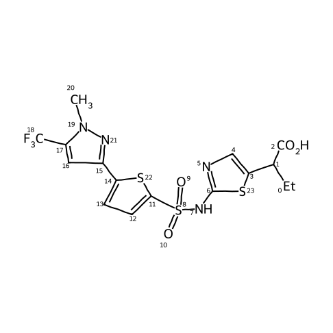 CCC(C(=O)O)c1cnc(NS(=O)(=O)c2ccc(-c3cc(C(F)(F)F)n(C)n3)s2)s1